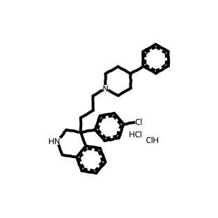 Cl.Cl.Clc1ccc(C2(CCCN3CCC(c4ccccc4)CC3)CNCc3ccccc32)cc1